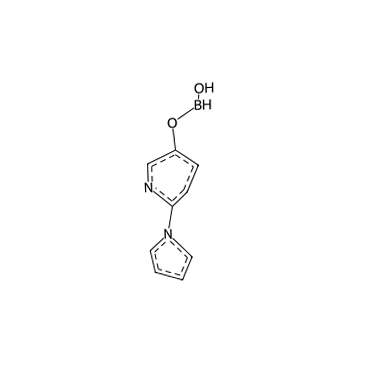 OBOc1ccc(-n2cccc2)nc1